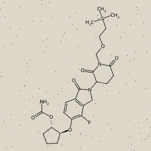 C[Si](C)(C)CCOCN1C(=O)CCC(N2Cc3c(ccc(O[C@H]4CCC[C@@H]4OC(N)=O)c3F)C2=O)C1=O